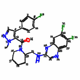 Cn1ncc(-c2ccc(F)cc2)c1C(=O)N1CCCCC1CNc1cnc2cc(F)c(F)cc2n1